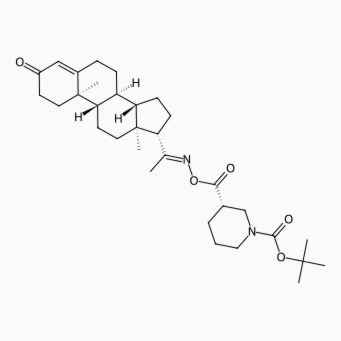 C/C(=N\OC(=O)[C@H]1CCCN(C(=O)OC(C)(C)C)C1)[C@H]1CC[C@H]2[C@@H]3CCC4=CC(=O)CC[C@]4(C)[C@H]3CC[C@]12C